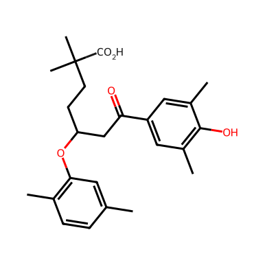 Cc1ccc(C)c(OC(CCC(C)(C)C(=O)O)CC(=O)c2cc(C)c(O)c(C)c2)c1